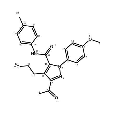 COc1ccc(-n2nc(C(C)=O)c(CCO)c2C(=O)Nc2ccc(I)cc2)cc1